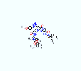 COc1ccc(Cn2nnnc2/C=C/c2c(N3CCC(CC(=O)NCC[N+](C)(C)CC(=O)OC(C)(C)C)CC3)nc3cc(C(=O)Nc4nc(C(C)(C)C)cs4)ccn3c2=O)cc1